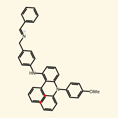 COc1ccc(N(c2ccccc2)c2cccc(Nc3ccc(C/N=C/c4ccccc4)cc3)c2-c2ccccc2)cc1